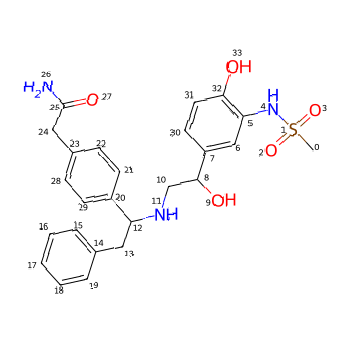 CS(=O)(=O)Nc1cc(C(O)CNC(Cc2ccccc2)c2ccc(CC(N)=O)cc2)ccc1O